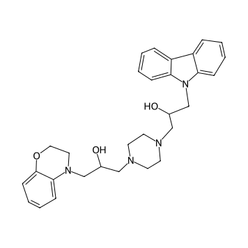 OC(CN1CCN(CC(O)Cn2c3ccccc3c3ccccc32)CC1)CN1CCOc2ccccc21